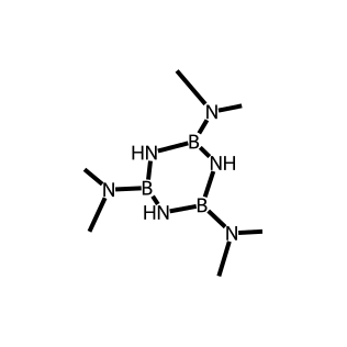 CN(C)B1NB(N(C)C)NB(N(C)C)N1